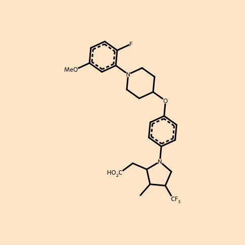 COc1ccc(F)c(N2CCC(Oc3ccc(N4CC(C(F)(F)F)C(C)C4CC(=O)O)cc3)CC2)c1